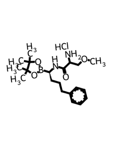 COCC(N)C(=O)N[C@@H](CCCc1ccccc1)B1OC(C)(C)C(C)(C)O1.Cl